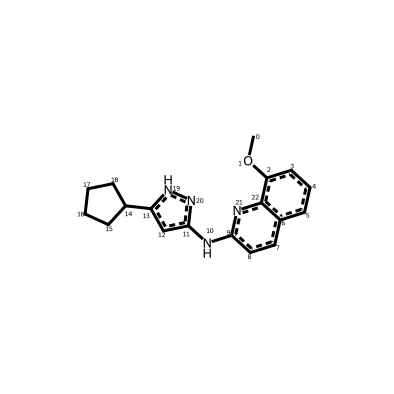 COc1cccc2ccc(Nc3cc(C4CCCC4)[nH]n3)nc12